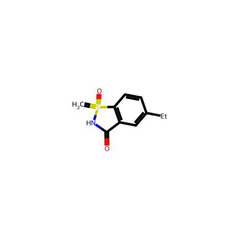 C=S1(=O)NC(=O)c2cc(CC)ccc21